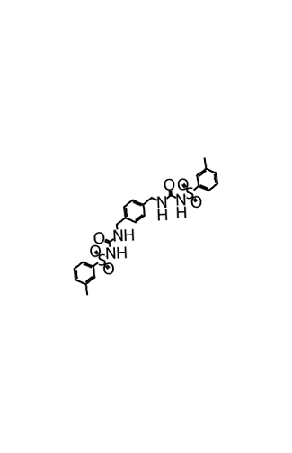 Cc1cccc(S(=O)(=O)NC(=O)NCc2ccc(CNC(=O)NS(=O)(=O)c3cccc(C)c3)cc2)c1